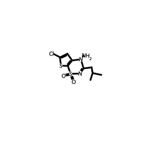 CC(C)CC1=NS(=O)(=O)c2sc(Cl)cc2N1N